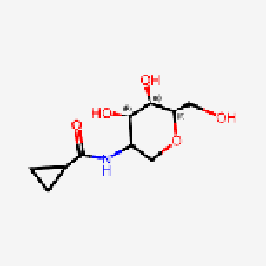 O=C(NC1CO[C@H](CO)[C@H](O)[C@@H]1O)C1CC1